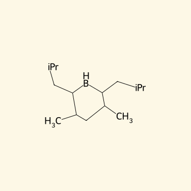 CC(C)CC1BC(CC(C)C)C(C)CC1C